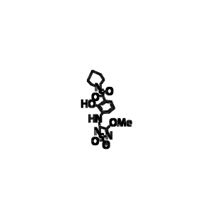 COC1=NS(=O)(=O)N=C1Nc1cccc(S(=O)(=O)N2CCCCC2)c1O